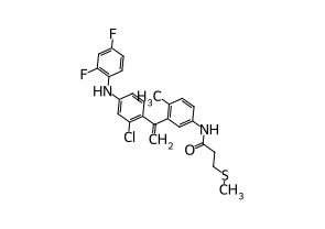 C=C(c1cc(NC(=O)CCSC)ccc1C)c1ccc(Nc2ccc(F)cc2F)cc1Cl